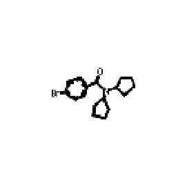 O=C(c1ccc(Br)cc1)N(C1CCCC1)C1CCCC1